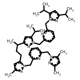 Cc1cc(C)n(Cc2cccc(Cn3nc(C)cc3CCC(C)c3cc(C(C)C)n(Cc4cccc(Cn5nc(C(C)C)cc5C(C)C)n4)n3)n2)n1